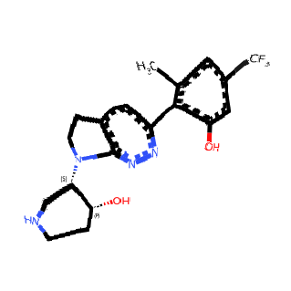 Cc1cc(C(F)(F)F)cc(O)c1-c1cc2c(nn1)N([C@H]1CNCC[C@H]1O)CC2